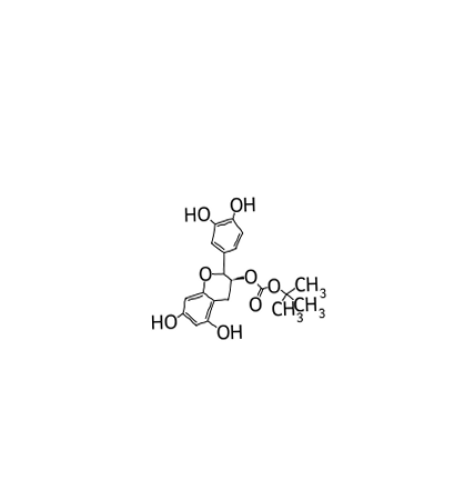 CC(C)(C)OC(=O)O[C@H]1Cc2c(O)cc(O)cc2OC1c1ccc(O)c(O)c1